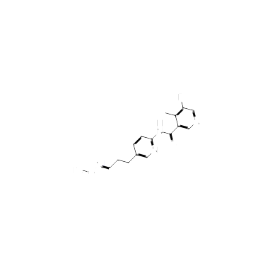 CCC(C)O/N=C/CCc1ccc(NC(=O)c2cncc(F)c2C)nc1